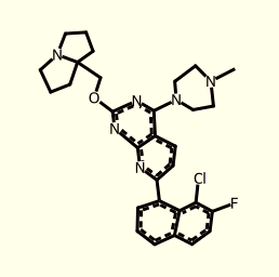 CN1CCN(c2nc(OCC34CCCN3CCC4)nc3nc(-c4cccc5ccc(F)c(Cl)c45)ccc23)CC1